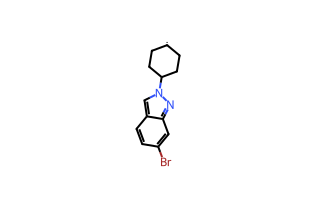 Brc1ccc2cn(C3CC[CH]CC3)nc2c1